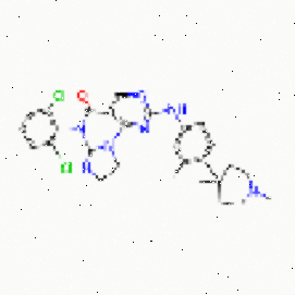 Cc1cc(Nc2ncc3c(n2)N2CCN=C2N(c2c(Cl)cccc2Cl)C3=O)ccc1C1(C)CCN(C)CC1